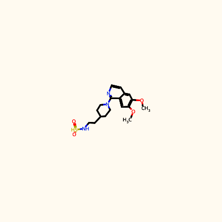 COc1cc2ccnc(N3CCC(CCN[SH](=O)=O)CC3)c2cc1OC